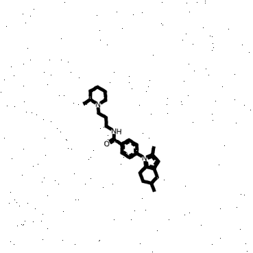 Cc1cc2c(n1-c1ccc(C(=O)NCCCN3CCCCC3C)cc1)CCC(C)C2